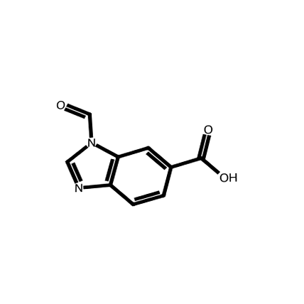 O=Cn1cnc2ccc(C(=O)O)cc21